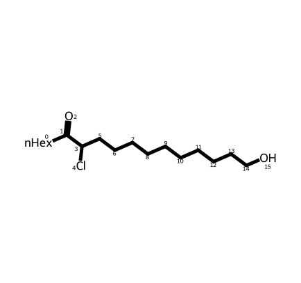 CCCCCCC(=O)C(Cl)CCCCCCCCCCO